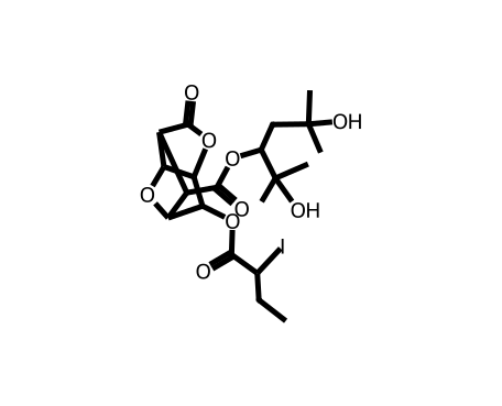 CCC(I)C(=O)OC1C2OC(=O)C3C2OC1C3C(=O)OC(CC(C)(C)O)C(C)(C)O